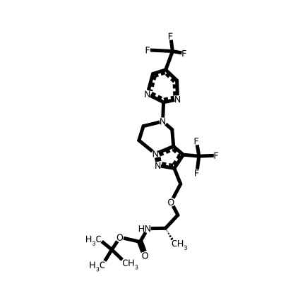 C[C@@H](COCc1nn2c(c1C(F)(F)F)CN(c1ncc(C(F)(F)F)cn1)CC2)NC(=O)OC(C)(C)C